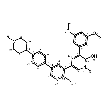 COc1cc(OC)cc(C2=NC(c3nc(-c4ccc(C5CCN(C)CC5)nc4)cnc3N)=CN(C)C2O)c1